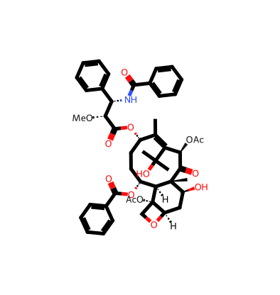 CO[C@@H](C(=O)O[C@H]1CC[C@@H](OC(=O)c2ccccc2)[C@@H]2[C@]3(OC(C)=O)CO[C@@H]3C[C@H](O)[C@@]2(C)C(=O)[C@H](OC(C)=O)/C(C(C)(C)O)=C/1C)[C@@H](NC(=O)c1ccccc1)c1ccccc1